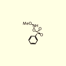 CONOS(=O)(=O)c1ccccc1